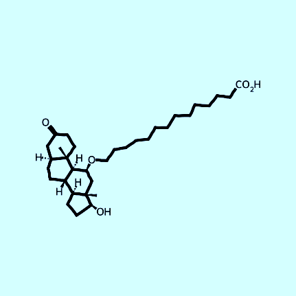 C[C@]12CCC(=O)C[C@@H]1CC[C@@H]1[C@@H]2[C@@H](OCCCCCCCCCCCCCC(=O)O)C[C@]2(C)[C@@H](O)CC[C@@H]12